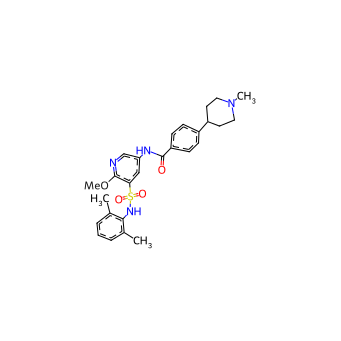 COc1ncc(NC(=O)c2ccc(C3CCN(C)CC3)cc2)cc1S(=O)(=O)Nc1c(C)cccc1C